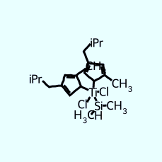 CC1=CC(CC(C)C)=C[CH]1[Ti]([Cl])([Cl])([CH]1C=C(CC(C)C)C=C1C)[SiH](C)C